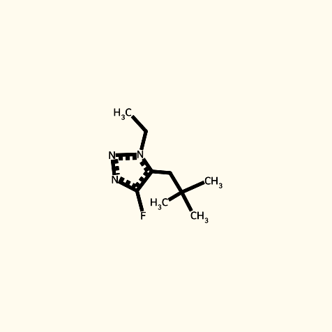 CCn1nnc(F)c1CC(C)(C)C